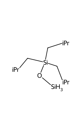 CC(C)C[Si](CC(C)C)(CC(C)C)O[SiH3]